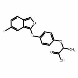 CC(Oc1ccc(Oc2occ3ccc(Cl)cc23)cc1)C(=O)O